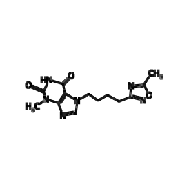 Cc1nc(CCCCn2cnc3c2c(=O)[nH]c(=O)n3C)no1